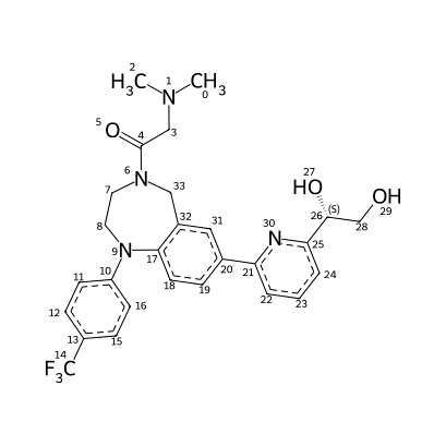 CN(C)CC(=O)N1CCN(c2ccc(C(F)(F)F)cc2)c2ccc(-c3cccc([C@H](O)CO)n3)cc2C1